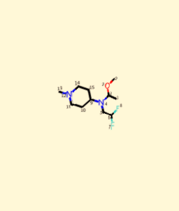 COC(C)N(CC(F)F)C1CCN(C)CC1